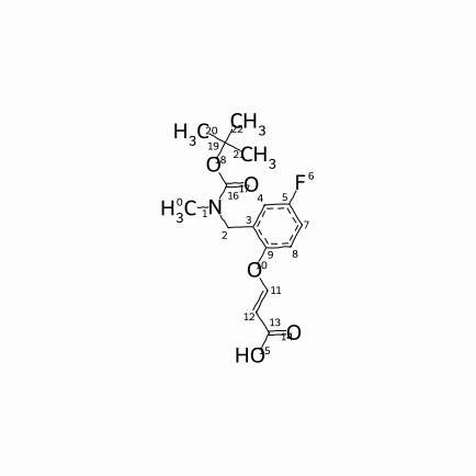 CN(Cc1cc(F)ccc1OC=CC(=O)O)C(=O)OC(C)(C)C